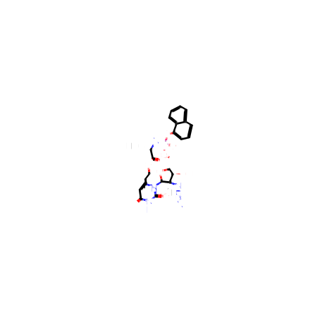 CCCOC(=O)[C@H](C)N[P@](=O)(OC[C@H]1OC(n2ccc(=O)[nH]c2=O)[C@](C)(N=[N+]=[N-])[C@@H]1O)Oc1cccc2ccccc12